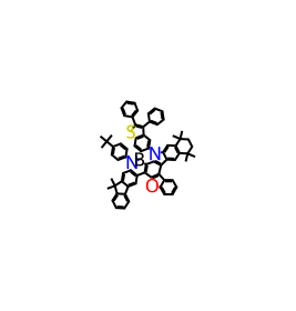 CC(C)(C)c1ccc(N2B3c4cc5sc(-c6ccccc6)c(-c6ccccc6)c5cc4-n4c5cc6c(cc5c5c7c(oc8ccccc87)c(c3c54)-c3cc4c(cc32)C(C)(C)c2ccccc2-4)C(C)(C)CCC6(C)C)cc1